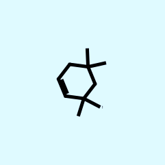 [CH]C1(C)C=CCC(C)(C)C1